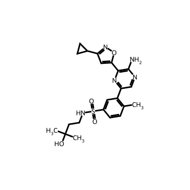 Cc1ccc(S(=O)(=O)NCCC(C)(C)O)cc1-c1cnc(N)c(-c2cc(C3CC3)no2)n1